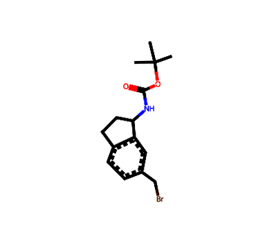 CC(C)(C)OC(=O)NC1CCc2ccc(CBr)cc21